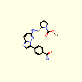 CC(C)(C)OC(=O)N1CCC[C@H]1CNc1ccc2ncc(-c3ccc(C(N)=O)cc3)n2n1